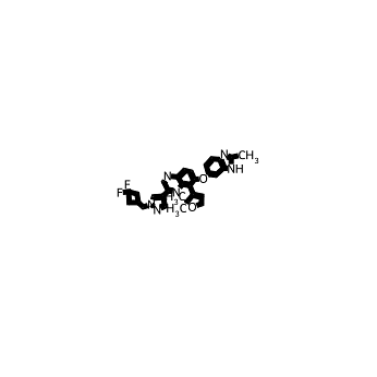 Cc1nc2ccc(Oc3ccc4ncc(-c5cnn(CC6CC(F)(F)C6)c5)nc4c3C3=CCOC3(C)C)cc2[nH]1